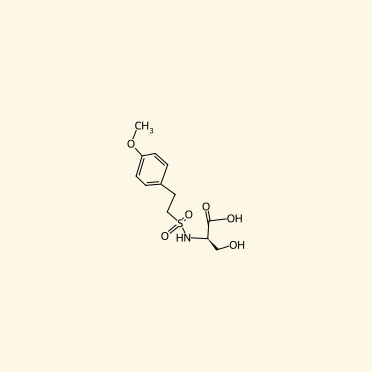 COc1ccc(CCS(=O)(=O)N[C@H](CO)C(=O)O)cc1